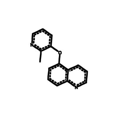 Cc1ncccc1Oc1cccc2ncccc12